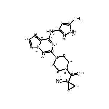 Cc1cc(Nc2nc(N3CCN(C(=O)C4(C#N)CC4)CC3)nn3cccc23)n[nH]1